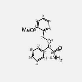 COc1ccccc1COC(C(N)=O)c1ccccc1